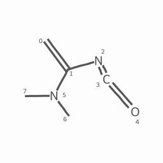 C=C(N=C=O)N(C)C